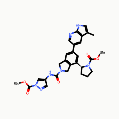 Cc1c[nH]c2ncc(-c3cc4c(c([C@@H]5CCCN5C(=O)OC(C)(C)C)c3)CN(C(=O)Nc3cnn(C(=O)OC(C)(C)C)c3)C4)cc12